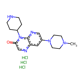 CN1CCN(c2cnc3c(c2)ncc(=O)n3C2CCNCC2)CC1.Cl.Cl.Cl